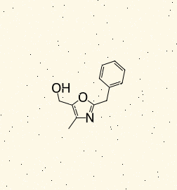 Cc1nc(Cc2ccccc2)oc1CO